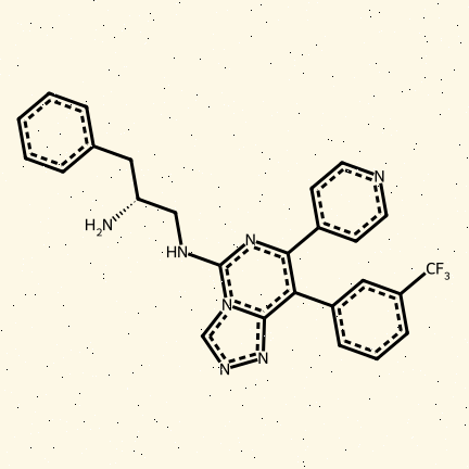 N[C@@H](CNc1nc(-c2ccncc2)c(-c2cccc(C(F)(F)F)c2)c2nncn12)Cc1ccccc1